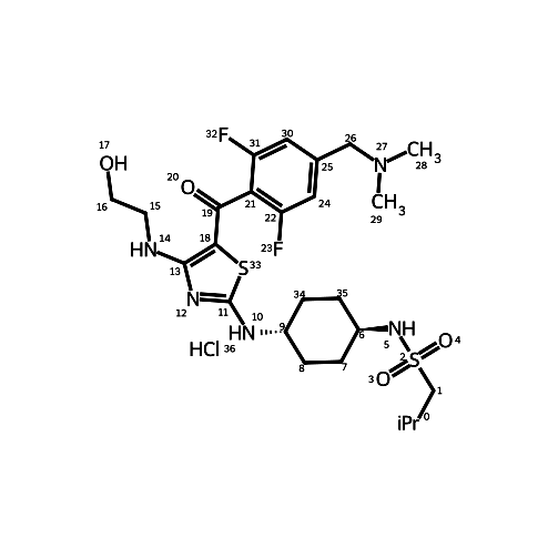 CC(C)CS(=O)(=O)N[C@H]1CC[C@H](Nc2nc(NCCO)c(C(=O)c3c(F)cc(CN(C)C)cc3F)s2)CC1.Cl